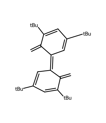 C=c1c(C(C)(C)C)cc(C(C)(C)C)cc1=c1cc(C(C)(C)C)cc(C(C)(C)C)c1=C